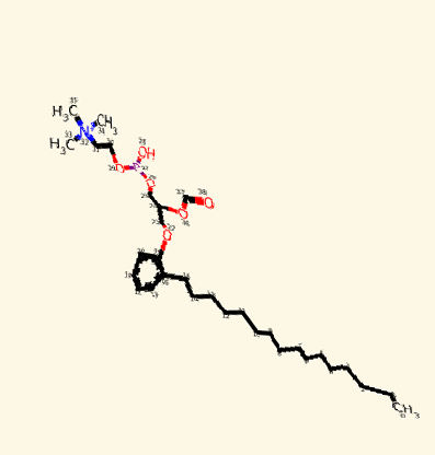 CCCCCCCCCCCCCCCCc1ccccc1OCC(COP(O)OCC[N+](C)(C)C)OC=O